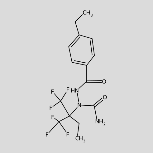 CCc1ccc(C(=O)NN(C(N)=O)C(CC)(C(F)(F)F)C(F)(F)F)cc1